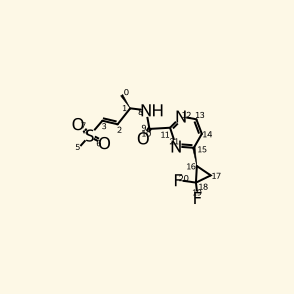 C[C@H](/C=C/S(C)(=O)=O)NC(=O)c1nccc([C@H]2CC2(F)F)n1